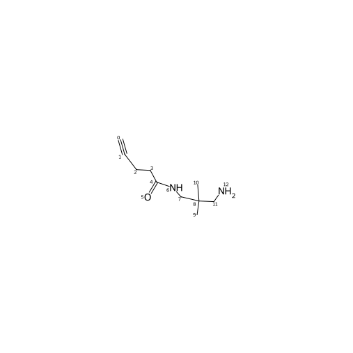 C#CCCC(=O)NCC(C)(C)CN